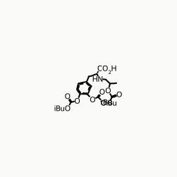 CC(C)COC(=O)Oc1ccc(C[C@H](NCC(C)OC(=O)C(C)(C)C)C(=O)O)cc1OC(=O)OCC(C)C